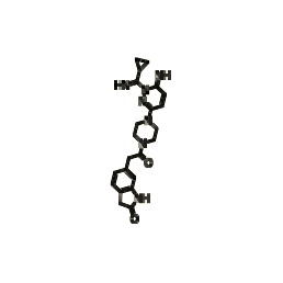 N=C(C1CC1)n1nc(N2CCN(C(=O)Cc3ccc4c(c3)NC(=O)C4)CC2)ccc1=N